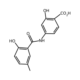 Cc1ccc(O)c(C(=O)Nc2ccc(C(=O)O)c(O)c2)c1